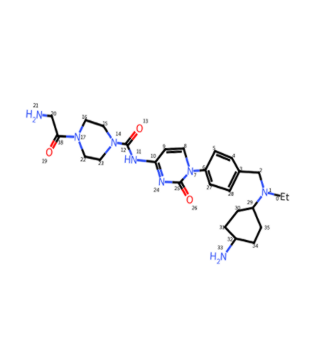 CCN(Cc1ccc(-n2ccc(NC(=O)N3CCN(C(=O)CN)CC3)nc2=O)cc1)C1CCC(N)CC1